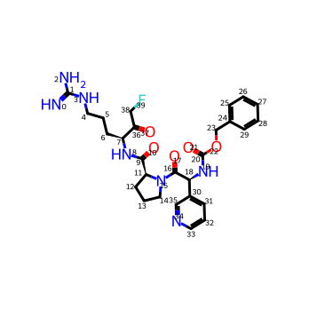 N=C(N)NCCC[C@H](NC(=O)[C@@H]1CCCN1C(=O)[C@@H](NC(=O)OCc1ccccc1)c1cccnc1)C(=O)CF